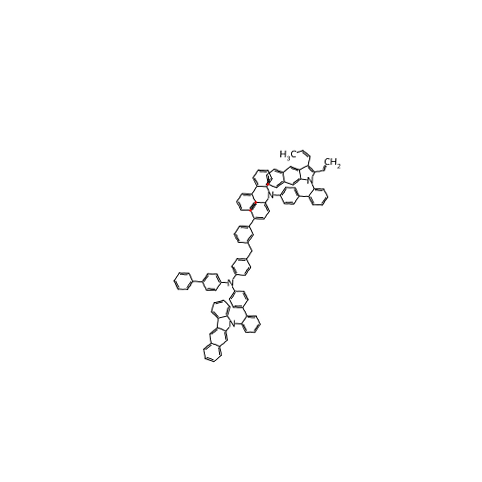 C=Cc1c(/C=C\C)c2cc3ccccc3cc2n1-c1ccccc1-c1ccc(N(c2ccc(-c3cccc(Cc4ccc(N(c5ccc(-c6ccccc6)cc5)c5ccc(-c6ccccc6-n6c7ccccc7c7cc8ccccc8cc76)cc5)cc4)c3)cc2)c2ccccc2-c2ccccc2)cc1